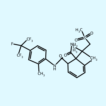 Cc1cc(C(F)(C(F)(F)F)C(F)(F)F)ccc1NC(=O)C1C=CC=C(I)C1(C(N)=O)C(C)(C)CS(C)(=O)=O